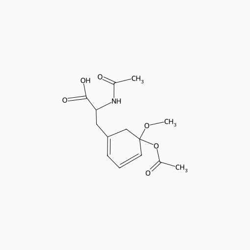 COC1(OC(C)=O)C=CC=C(CC(NC(C)=O)C(=O)O)C1